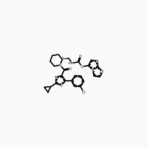 O=C(NC[C@@H]1CCCCN1C(=O)c1nc(C2CC2)sc1-c1cccc(Cl)c1)Oc1cnc2sccn12